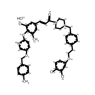 Cc1ccc(COc2ccc(Oc3c(C)cc(C=CC(=O)N4CCN(Cc5ccc(CCOc6ccc(Cl)c(Cl)c6)cc5)CC4)cc3Cl)nc2)cc1.Cl